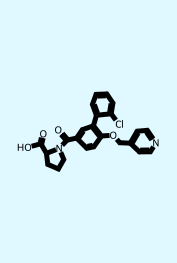 O=C(O)C1CCCN1C(=O)c1ccc(OCc2ccncc2)c(-c2ccccc2Cl)c1